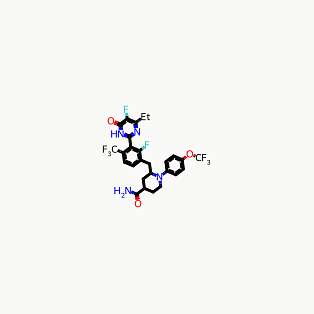 CCc1nc(-c2c(C(F)(F)F)ccc(CC3CC(C(N)=O)CCN3c3ccc(OC(F)(F)F)cc3)c2F)[nH]c(=O)c1F